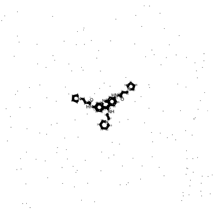 O=C(CCN1CCCC1)Nc1ccc2c(NCCN3CCCCC3)c3ccc(NC(=O)CCN4CCCC4)cc3nc2c1